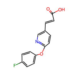 O=C(O)/C=C/c1ccc(Oc2ccc(F)cc2)nc1